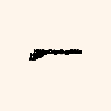 COCCOCCOCCOCCOCCOCC(=O)N[C@H](C)C(=O)N[C@H](C)C(C)=O